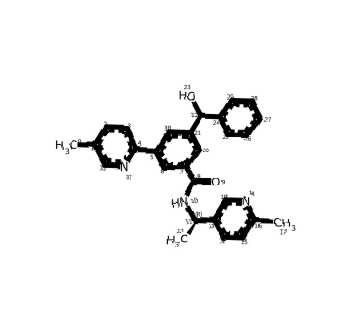 Cc1ccc(-c2cc(C(=O)N[C@H](C)c3ccc(C)nc3)cc(C(O)c3ccccc3)c2)nc1